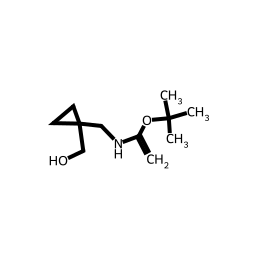 C=C(NCC1(CO)CC1)OC(C)(C)C